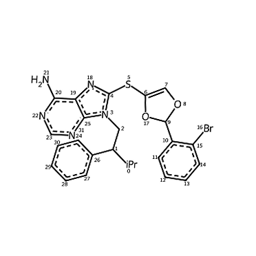 CC(C)C(Cn1c(SC2=COC(c3ccccc3Br)O2)nc2c(N)ncnc21)c1ccccc1